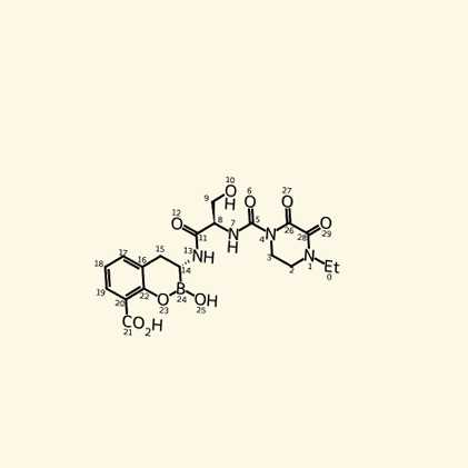 CCN1CCN(C(=O)N[C@H](CO)C(=O)N[C@H]2Cc3cccc(C(=O)O)c3OB2O)C(=O)C1=O